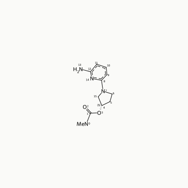 CNC(=O)O[C@H]1CCN(c2cccc(N)n2)C1